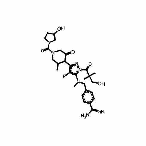 CC1CN(C(=O)N2CCC(O)C2)CC(=O)C1c1nn(C(=O)C(C)(C)CO)c(N(C)Cc2ccc(C(=N)N)cc2)c1F